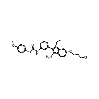 CCn1c(-c2cccc(NC(=O)Oc3ccc(OC)cc3)c2)c(N)c2ccc(OCCCCl)cc21